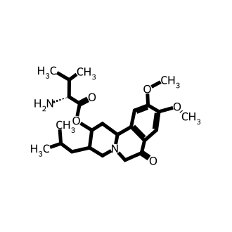 COc1cc2c(cc1OC)C1CC(OC(=O)[C@H](N)C(C)C)C(CC(C)C)CN1CC2=O